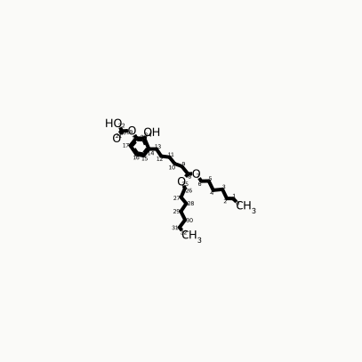 CCCCCCCOC(CCCCCc1cccc(OC(=O)O)c1O)OCCCCCCC